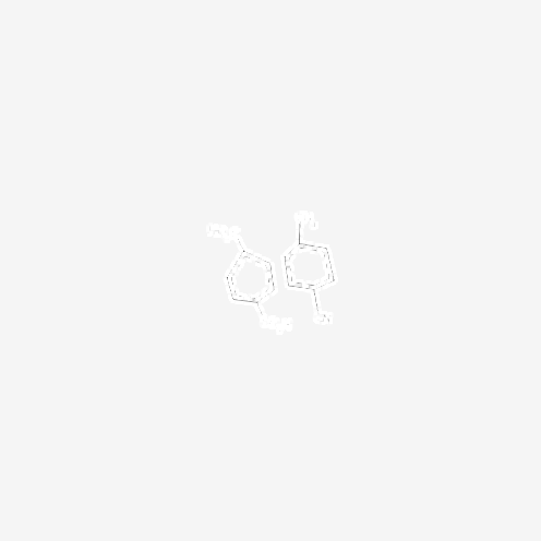 Cc1ccc(C#N)cc1.O=C(O)c1ccc(C(=O)O)cc1